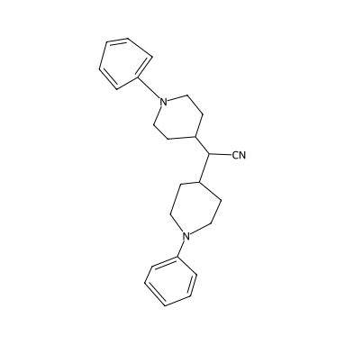 N#CC(C1CCN(c2ccccc2)CC1)C1CCN(c2ccccc2)CC1